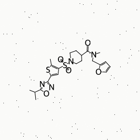 Cc1sc(-c2noc(C(C)C)n2)cc1S(=O)(=O)N1CCC(C(=O)N(C)Cc2ccco2)CC1